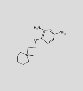 C[N+]1(CCOc2ccc(N)cc2N)CCCCC1